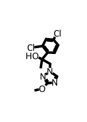 COc1ncn(CC(C)(O)c2ccc(Cl)cc2Cl)n1